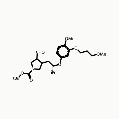 COCCCOc1cc(O[C@@H](CC2CN(C(=O)OC(C)(C)C)CC2C=O)C(C)C)ccc1OC